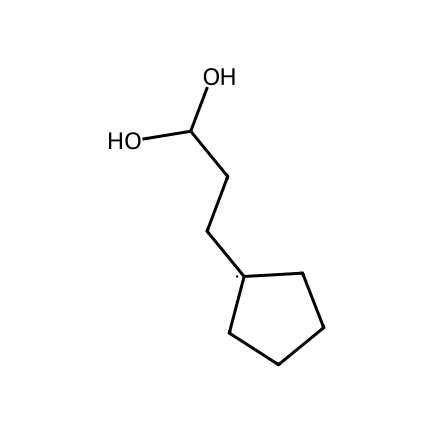 OC(O)CC[C]1CCCC1